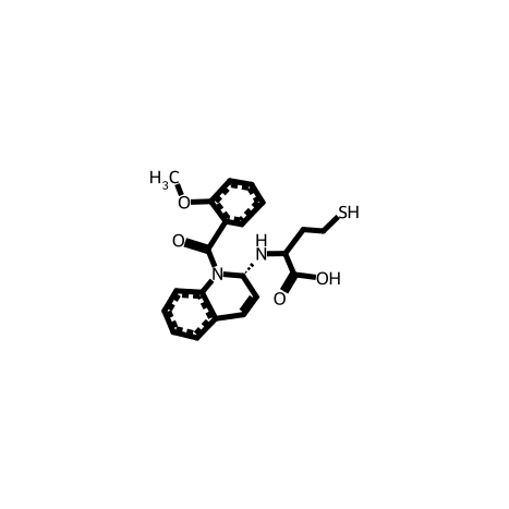 COc1ccccc1C(=O)N1c2ccccc2C=C[C@H]1NC(CCS)C(=O)O